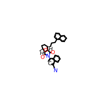 C[C@@]12CC[C@@](CCCc3cccc4ccccc34)(O1)[C@H]1C(=O)N(c3ccc(C#N)c4ccccc34)C(=O)[C@H]12